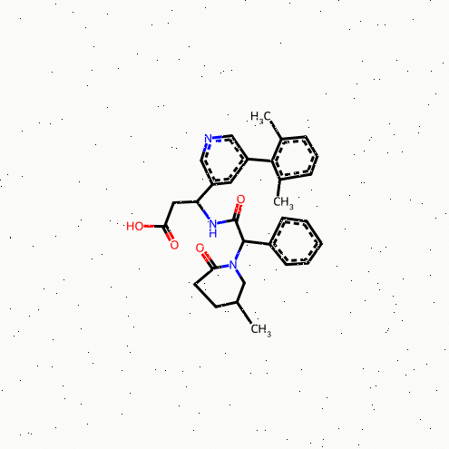 Cc1cccc(C)c1-c1cncc(C(CC(=O)O)NC(=O)C(c2ccccc2)N2CC(C)CCC2=O)c1